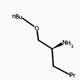 CCCCOC[C@@H](N)CC(C)C